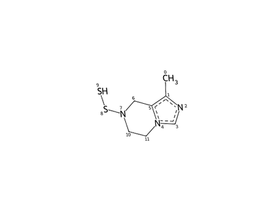 Cc1ncn2c1CN(SS)CC2